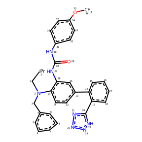 CC(C)CN(Cc1ccccc1)c1ccc(-c2ccccc2-c2nnn[nH]2)cc1NC(=O)Nc1ccc(OC(F)(F)F)cc1